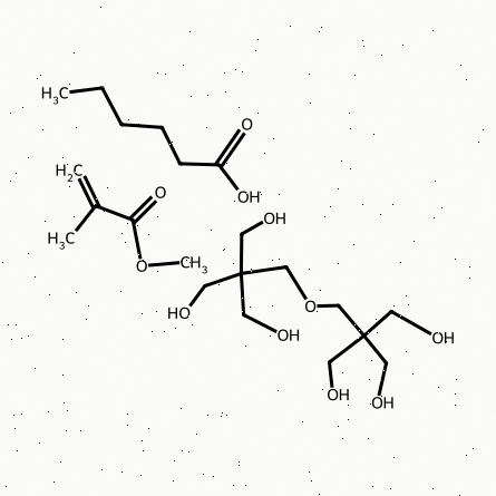 C=C(C)C(=O)OC.CCCCCC(=O)O.OCC(CO)(CO)COCC(CO)(CO)CO